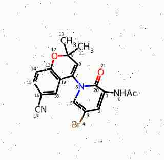 CC(=O)Nc1cc(Br)cn(C2=CC(C)(C)Oc3ccc(C#N)cc32)c1=O